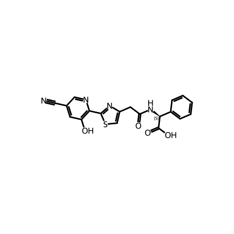 N#Cc1cnc(-c2nc(CC(=O)N[C@H](C(=O)O)c3ccccc3)cs2)c(O)c1